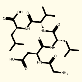 CC(C)C[C@H](NC(=O)[C@@H](NC(=O)[C@H](CC(C)C)NC(=O)[C@H](CC(=O)O)NC(=O)CN)C(C)C)C(=O)O